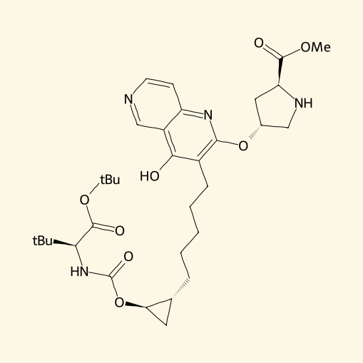 COC(=O)[C@@H]1C[C@@H](Oc2nc3ccncc3c(O)c2CCCCC[C@@H]2C[C@H]2OC(=O)N[C@H](C(=O)OC(C)(C)C)C(C)(C)C)CN1